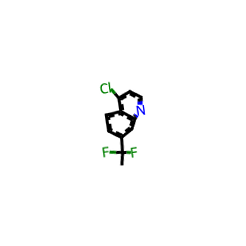 CC(F)(F)c1ccc2c(Cl)ccnc2c1